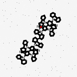 N#Cc1cc(-c2cc(C#N)c(-n3c4ccccc4c4c(-c5cccc6c5c5ccccc5n6-c5cc(-n6c7ccccc7c7ccccc76)c(-c6cc(C#N)c(-n7c8ccccc8c8ccccc87)cc6-n6c7ccccc7c7ccccc76)cc5C(F)(F)F)cccc43)cc2-n2c3ccccc3c3ccccc32)c(-n2c3ccccc3c3ccccc32)cc1-n1c2ccccc2c2ccccc21